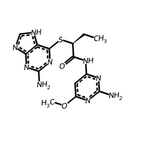 CC[C@H](Sc1nc(N)nc2nc[nH]c12)C(=O)Nc1cc(OC)nc(N)n1